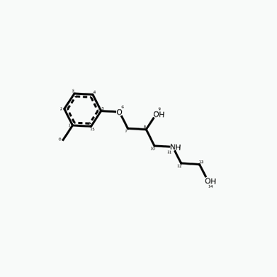 Cc1cccc(OCC(O)CNCCO)c1